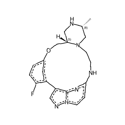 C[C@@H]1CN2CCNc3ccn4ncc(c4n3)-c3cc(ccc3F)OC[C@@H]2CN1